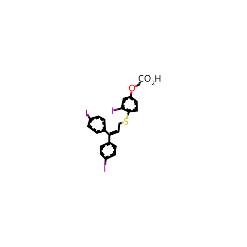 O=C(O)COc1ccc(SCC=C(c2ccc(I)cc2)c2ccc(I)cc2)c(I)c1